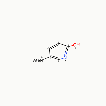 [CH2+][N-]c1ccc(O)nc1